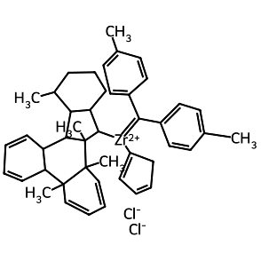 Cc1ccc([C](c2ccc(C)cc2)=[Zr+2]([C]2=CC=CC2)[CH]2C3CCCC(C)C3C3C4C=CC=CC4C4(C)C=CC=CC4(C)C32C)cc1.[Cl-].[Cl-]